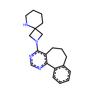 c1ccc2c(c1)CCCc1c-2ncnc1N1CC2(CCCCN2)C1